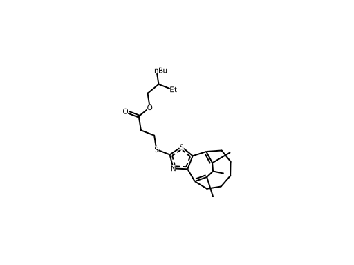 CCCCC(CC)COC(=O)CCSc1nc2c(s1)C1=C(C)C(C)C(C)=C2CCCCC1